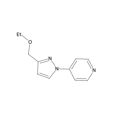 CCOCc1ccn(-c2ccncc2)n1